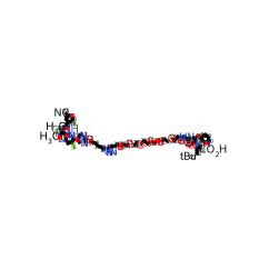 Cc1nc2cc(F)c(-c3cnc(OCCCCCn4cc(COCCOCCOCCOCCOCCOCCOCC(=O)N[C@@H](Cc5ccccc5)C(=O)N[C@@H](CCC(C)(C)C)C(=O)O)nn4)nc3)nc2c(N[C@H](C)c2cc(C#N)ccc2F)c1Cl